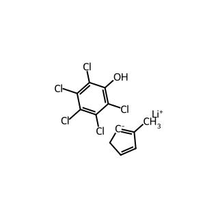 CC1=[C-]CC=C1.Oc1c(Cl)c(Cl)c(Cl)c(Cl)c1Cl.[Li+]